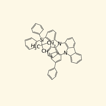 CC(C)(C)[Si](c1ccccc1)(c1ccccc1)c1cccc2c1c1ccccc1n2-c1cccc2c3ccccc3n(-c3cccc(-c4ccccc4)c3)c12